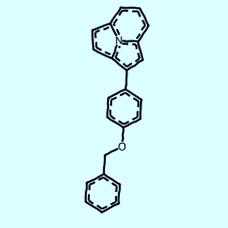 c1ccc(COc2ccc(-c3cc4cccc5ccc3n54)cc2)cc1